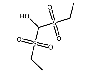 CCS(=O)(=O)C(O)S(=O)(=O)CC